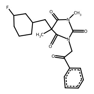 CN1C(=O)N(CC(=O)c2ccccc2)C(=O)C(C)(CC2CCCC(F)C2)C1=O